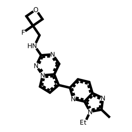 CCn1c(C)nc2ccc(-c3ccn4nc(NCC5(F)COC5)ncc34)nc21